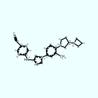 Cc1cc(-n2cnc(Nc3cnc(C#N)cn3)c2)ccc1N1CC[C@@H](N2CCC2)C1